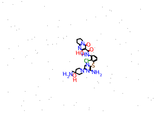 NCC1(O)CCN(c2cnc(Sc3cccc(NC(=O)c4c(O)nc5n(c4=O)CCCC5)c3Cl)c(N)n2)CC1